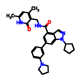 Cc1cc(C)c(CNC(=O)c2cc(-c3cccc(N4CCCC4)c3)cc3c2cnn3C2CCCC2)c(=O)[nH]1